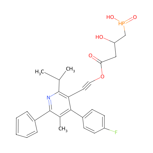 Cc1c(-c2ccccc2)nc(C(C)C)c(C#COC(=O)CC(O)C[PH](=O)O)c1-c1ccc(F)cc1